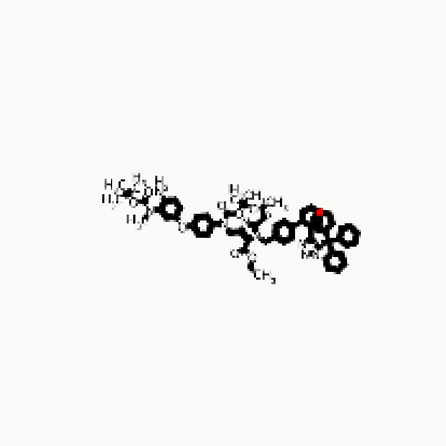 CCCc1nc(CN(C(=O)OC(C)(C)C)c2ccc(Oc3ccc(N)c(N(C)C(=O)OC(C)(C)C)c3)cc2)c(C(=O)OCC)n1Cc1ccc(-c2ccccc2-c2nnnn2C(c2ccccc2)(c2ccccc2)c2ccccc2)cc1